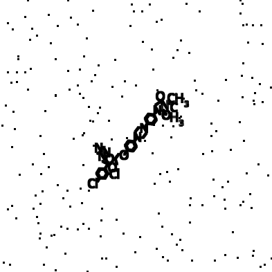 CC(C)N1C(=O)CN(c2ccc(N3CCN(c4ccc(OCC5COC(Cn6cncn6)(c6ccc(Cl)cc6Cl)O5)cc4)CC3)cc2)C1=O